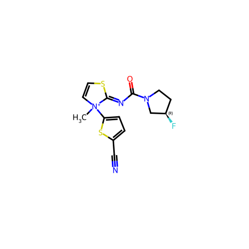 C[N+]1(c2ccc(C#N)s2)C=CSC1=NC(=O)N1CC[C@@H](F)C1